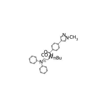 CCCCN(C[C@@H](C(=O)O)N(c1ccccc1)c1ccccc1)C(=O)c1ccc(-c2cnn(C)c2)cc1